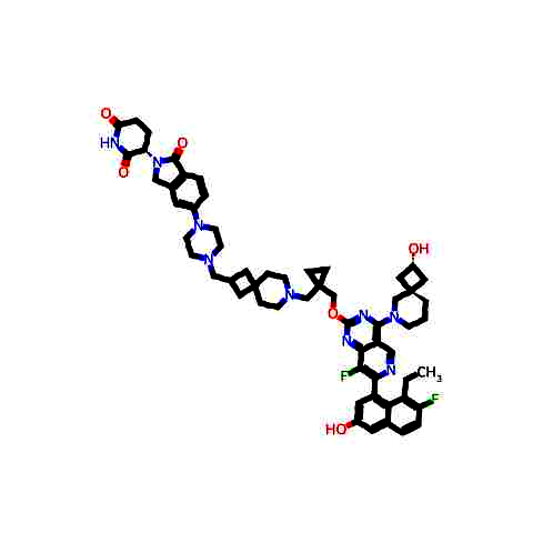 CCc1c(F)ccc2cc(O)cc(-c3ncc4c(N5CCC[C@]6(C5)C[C@@H](O)C6)nc(OCC5(CN6CCC7(CC6)CC(CN6CCN(c8ccc9c(c8)CN([C@H]8CCC(=O)NC8=O)C9=O)CC6)C7)CC5)nc4c3F)c12